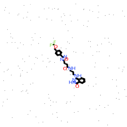 O=C(CCc1nc(-c2ccc(COC(F)F)cc2)no1)NCCCNc1n[nH]c(=O)c2ccccc12